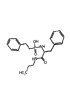 O=C(O)CCNC(=O)C(Cc1ccccc1)NP(=O)(O)CCc1ccccc1